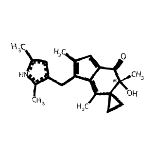 CC1=C(Cc2cc(C)[nH]c2C)C2=C(C)C3(CC3)[C@@](C)(O)C(=O)C2=C1